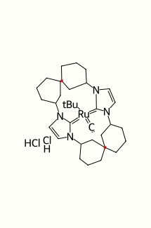 C=[C]=[Ru](=[c]1n(C2CCCCC2)ccn1C1CCCCC1)(=[c]1n(C2CCCCC2)ccn1C1CCCCC1)[C](C)(C)C.Cl.Cl